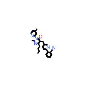 CCCCc1nc(C)n(-c2cc(C)ccn2)c(=O)c1Cc1ccc(-c2ccccc2C#N)nc1